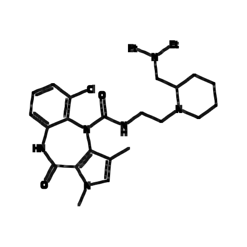 CCN(CC)CC1CCCCN1CCNC(=O)N1c2c(Cl)cccc2NC(=O)c2c1c(C)cn2C